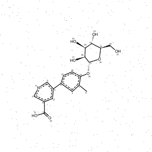 Cc1cc(-c2cncc(C(=O)O)c2)ccc1O[C@H]1O[C@H](CO)[C@@H](O)[C@H](O)[C@@H]1O